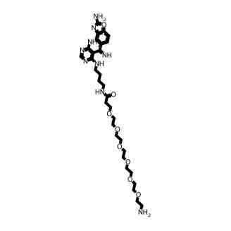 N=C(c1ccc2oc(N)nc2c1)c1c(N)ncnc1NCCCCNC(=O)CCOCCOCCOCCOCCOCCOCCN